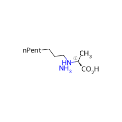 CCCCCCCCN[C@@H](C)C(=O)O.N